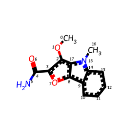 COc1c(C(N)=O)oc2c3ccccc3n(C)c12